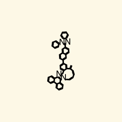 C=C1/C=C\C=C/Cn2c(nc3c4ccccc4c4ccccc4c32)-c2ccc(-c3ccc4cc(-c5nc6ccccc6n5-c5ccccc5)ccc4c3)cc21